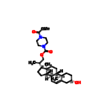 COC(=O)N1CCN(C(=O)OCC(C)[C@H]2CC[C@H]3[C@@H]4CC=C5C[C@@H](O)CC[C@]5(C)[C@H]4CC[C@]23C)CC1